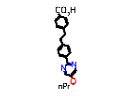 CCCOc1cnc(-c2ccc(CCc3ccc(C(=O)O)cc3)cc2)nc1